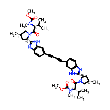 COC(=O)N(C)[C@H](C(=O)N1C[C@@H](C)C[C@H]1c1nc2ccc(C#CC#Cc3ccc4nc([C@@H]5C[C@H](C)CN5C(=O)[C@H](C(C)C)N(C)C(=O)OC)[nH]c4c3)cc2[nH]1)C(C)C